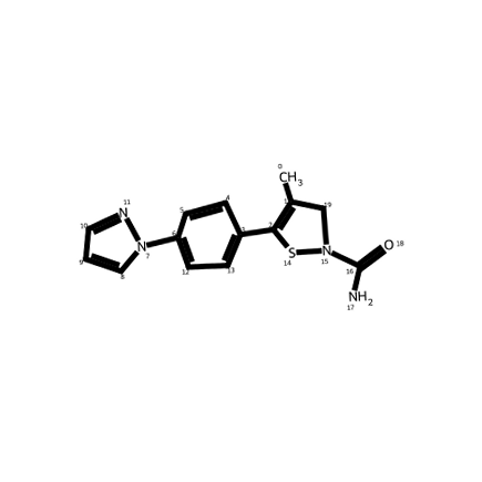 CC1=C(c2ccc(-n3cccn3)cc2)SN(C(N)=O)C1